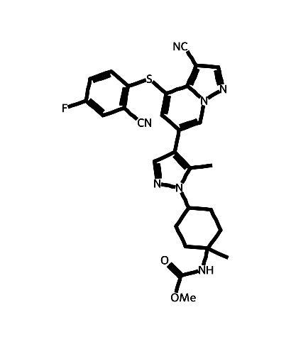 COC(=O)NC1(C)CCC(n2ncc(-c3cc(Sc4ccc(F)cc4C#N)c4c(C#N)cnn4c3)c2C)CC1